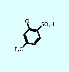 O=S(=O)(O)c1ccc(C(F)(F)F)cc1Cl